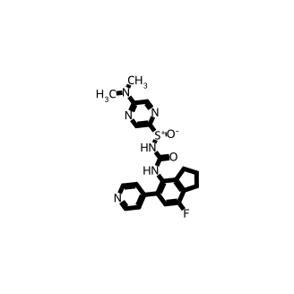 CN(C)c1cnc([S+]([O-])NC(=O)Nc2c(-c3ccncc3)cc(F)c3c2CCC3)cn1